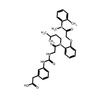 Cc1ccccc1N(C)C(=O)COc1ccccc1N(CCC(C)C)C(=O)CNC(=O)Nc1cccc(CC(=O)O)c1